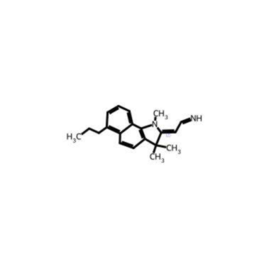 CCCc1cccc2c3c(ccc12)C(C)(C)/C(=C/C=N)N3C